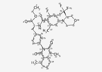 CCOC(=O)[C@H](Cc1ccc(-n2c(=O)c3c(C)cccc3n(C)c2=O)nc1)NC(=O)c1c(C)cc(N2CCOC[C@@H]2C(F)(F)F)cc1F